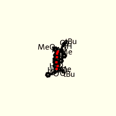 COc1ccc(CN(Cc2ccc(OC)cc2)S(=O)(=O)c2c(S(=O)(=O)N[C@H]3CN(C(=O)OC(C)(C)C)C[C@@H]3NC(=O)OCc3ccccc3)ccc(-c3cccc(-c4c[nH]c(CNC(=O)OC(C)(C)C)n4)c3)c2-c2nnn(Cc3ccc(OC)cc3)n2)cc1